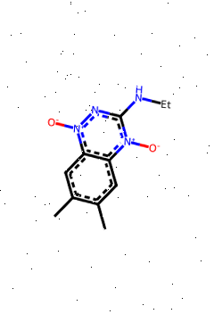 CCNc1n[n+]([O-])c2cc(C)c(C)cc2[n+]1[O-]